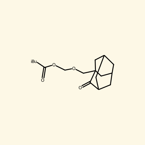 CCC(C)C(=O)OCOCC12CC3CC(CC(C3)C1=O)C2